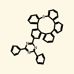 c1ccc(-c2nc(-c3ccccc3)nc(-c3ccc4c(c3)-c3ccccc3-c3ccccc3-c3ccccc3Sc3ccccc3-4)n2)cc1